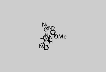 COc1cc2c(cc1Nc1ncc(C)c(-c3cnn4ccccc34)n1)N(C(=O)CN(C)C)CC2